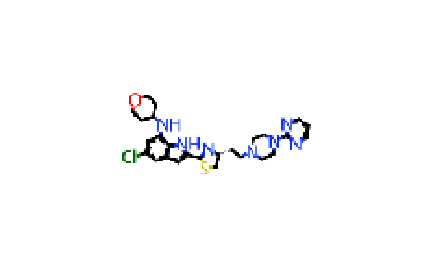 Clc1cc(NC2CCOCC2)c2[nH]c(C3=N[C@H](CCN4CCN(c5ncccn5)CC4)CS3)cc2c1